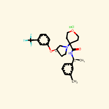 Cc1cccc([C@H](C)NC(=O)C2(N3CC[C@@H](Oc4cccc(C(F)(F)F)c4)C3)CCOCC2)c1.Cl